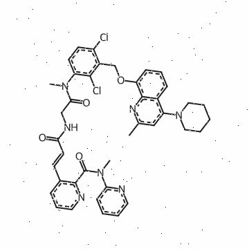 Cc1cc(N2CCCCC2)c2cccc(OCc3c(Cl)ccc(N(C)C(=O)CNC(=O)/C=C/c4cccnc4C(=O)N(C)c4ccccn4)c3Cl)c2n1